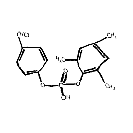 Cc1cc(C)c(OP(=O)(O)Oc2ccc(C=O)cc2)c(C)c1